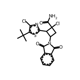 CC(C)(C)c1sc(C2C(N3C(=O)c4ccccc4C3=O)CC2(Cl)C(N)=O)nc1Cl